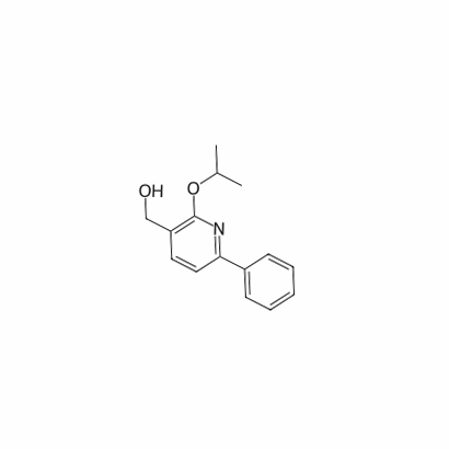 CC(C)Oc1nc(-c2ccccc2)ccc1CO